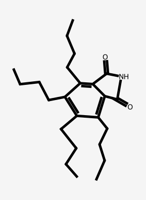 CCCCc1c(CCCC)c(CCCC)c2c(c1CCCC)C(=O)NC2=O